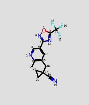 Cc1ncc(-c2noc(C(F)(F)F)n2)cc1CC1(C#N)CC1